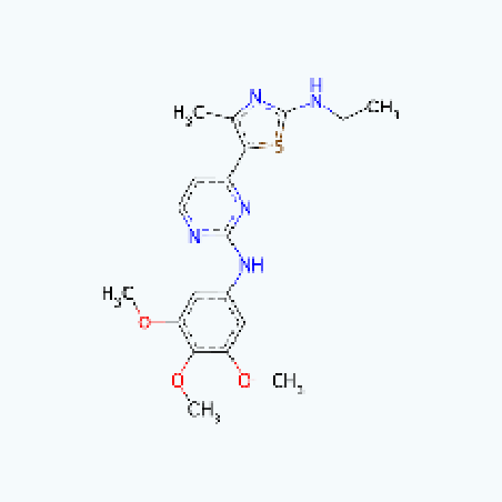 CCNc1nc(C)c(-c2ccnc(Nc3cc(OC)c(OC)c(OC)c3)n2)s1